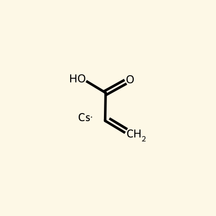 C=CC(=O)O.[Cs]